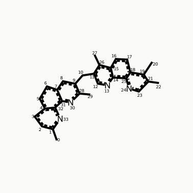 Cc1ccc2ccc3cc(Cc4cnc5c(ccc6c(C)c(C)cnc65)c4C)c(C)nc3c2n1